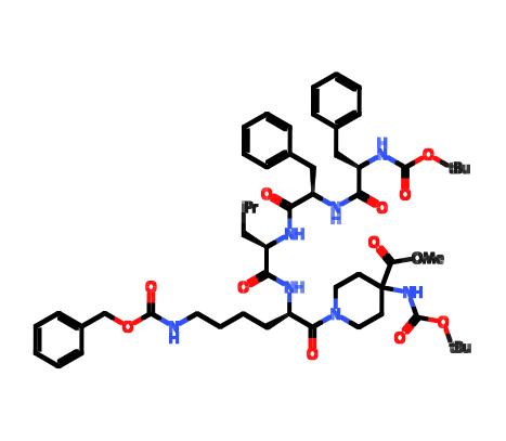 COC(=O)C1(NC(=O)OC(C)(C)C)CCN(C(=O)[C@@H](CCCCNC(=O)OCc2ccccc2)NC(=O)[C@@H](CC(C)C)NC(=O)[C@@H](Cc2ccccc2)NC(=O)[C@@H](Cc2ccccc2)NC(=O)OC(C)(C)C)CC1